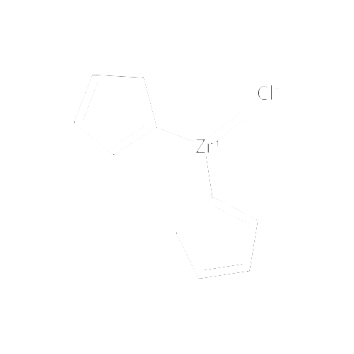 [CH2]=[Zr+]([C]1=CC=CC1)[C]1=CC=CC1.[Cl-]